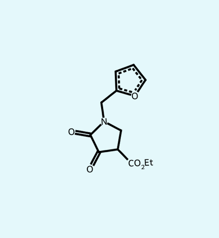 CCOC(=O)C1CN(Cc2ccco2)C(=O)C1=O